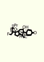 CCCC(=O)O[C@]1(C(=O)CF)CC[C@H]2[C@@H]3CCC4=CC(=O)C=C[C@]4(C)[C@@]3(Cl)C(O)C[C@@]21C